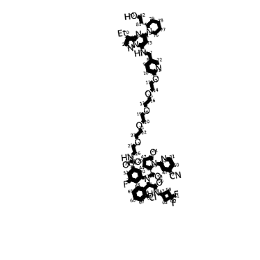 CCc1cnn2c(NCc3ccc(OCCOCCOCCOCCOCCNS(=O)(=O)c4cc(F)cc(N(C(=O)[C@@H]5CCC(=O)N5c5cc(C#N)ccn5)C(C(=O)NC5CC(F)(F)C5)c5ccccc5Cl)c4)nc3)cc(N3CCCC[C@H]3CCO)nc12